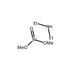 CCNCC.CO[N+](=O)OC